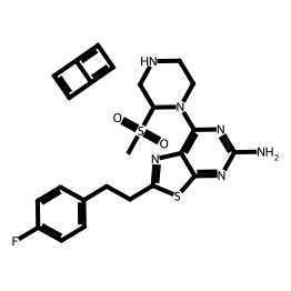 CS(=O)(=O)C1CNCCN1c1nc(N)nc2sc(CCc3ccc(F)cc3)nc12.c1cc2ccc1-2